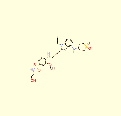 COc1cc(S(=O)(=O)NCCO)ccc1NCC#Cc1cc2c(NC3CCS(=O)(=O)CC3)cccc2n1CC(F)(F)F